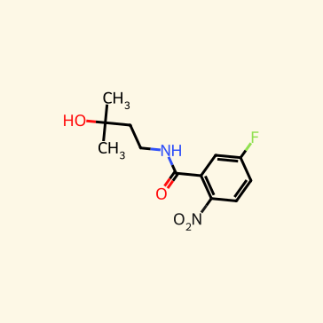 CC(C)(O)CCNC(=O)c1cc(F)ccc1[N+](=O)[O-]